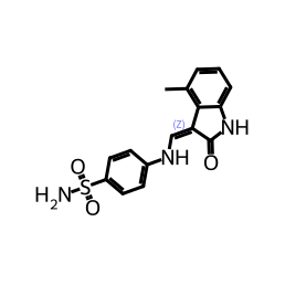 Cc1cccc2c1/C(=C/Nc1ccc(S(N)(=O)=O)cc1)C(=O)N2